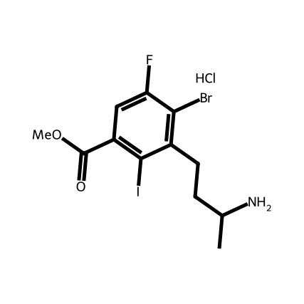 COC(=O)c1cc(F)c(Br)c(CCC(C)N)c1I.Cl